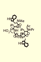 CCCN(CC(C)=O)C(=O)C(NC(=O)[C@H](Cc1c[nH]c2ccccc12)NC(=O)CNC(=O)[C@H](CC(=O)O)NC(=O)C(NC(=O)[C@H](Cc1c[nH]c2ccccc12)NC)C(C)C)C(C)C